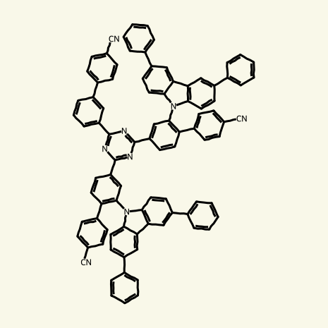 N#Cc1ccc(-c2cccc(-c3nc(-c4ccc(-c5ccc(C#N)cc5)c(-n5c6ccc(-c7ccccc7)cc6c6cc(-c7ccccc7)ccc65)c4)nc(-c4ccc(-c5ccc(C#N)cc5)c(-n5c6ccc(-c7ccccc7)cc6c6cc(-c7ccccc7)ccc65)c4)n3)c2)cc1